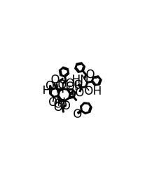 CC(=O)O[C@H]1C(=O)[C@@]2(C)[C@H]([C@H](OC(=O)c3ccccc3)[C@]3(O)C[C@H](OC(=O)[C@H](O)[C@@H](NC(=O)c4ccccc4)c4ccccc4)C(C)=C1C3(C)C)[C@]1(OC(C)=O)CO[C@@H]1C[C@@H]2O.O=C1CC=CCCC1